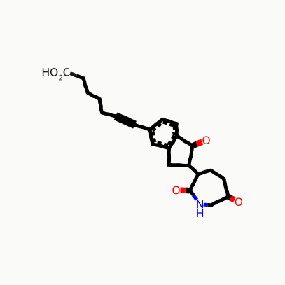 O=C(O)CCCCC#Cc1ccc2c(c1)CC(C1CCC(=O)CNC1=O)C2=O